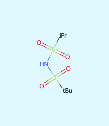 CC(C)S(=O)(=O)NS(=O)(=O)C(C)(C)C